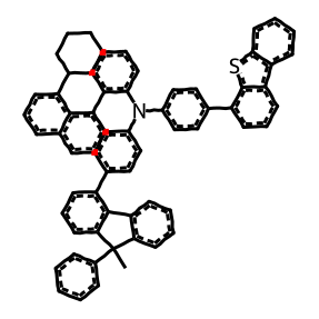 CC1(c2ccccc2)c2ccccc2-c2c(-c3ccc(N(c4ccc(-c5cccc6c5sc5ccccc56)cc4)c4ccccc4-c4cccc5cccc(C6CCCCC6)c45)cc3)cccc21